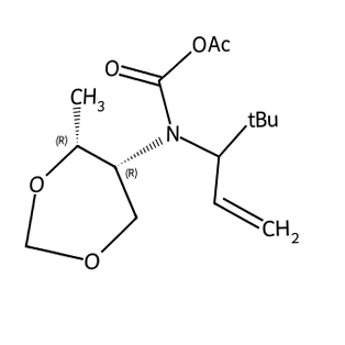 C=CC(N(C(=O)OC(C)=O)[C@@H]1COCO[C@@H]1C)C(C)(C)C